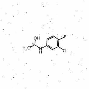 C[C@@H](O)Nc1ccc(F)c(Cl)c1